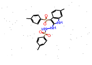 Cc1ccc(S(=O)(=O)NNc2[nH]c3cc(C)ccc3c2S(=O)(=O)c2ccc(C)cc2)cc1